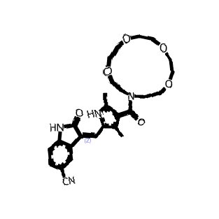 Cc1[nH]c(/C=C2\C(=O)Nc3ccc(C#N)cc32)c(C)c1C(=O)N1CCOCCOCCOCCOCC1